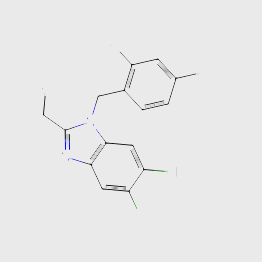 FC(F)(F)Cc1nc2cc(Cl)c(Cl)cc2n1Cc1ccc(C(F)(F)F)cc1C(F)(F)F